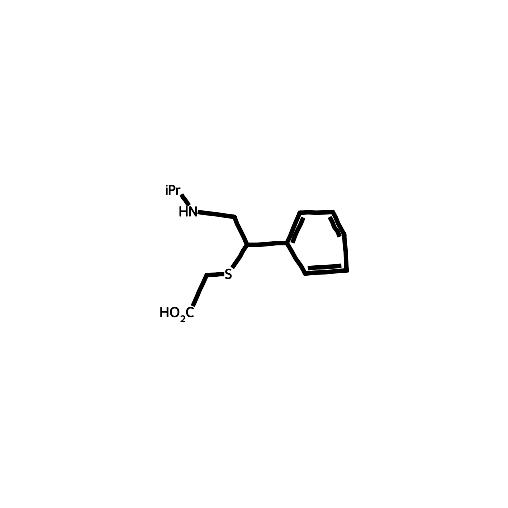 CC(C)NCC(SCC(=O)O)c1ccccc1